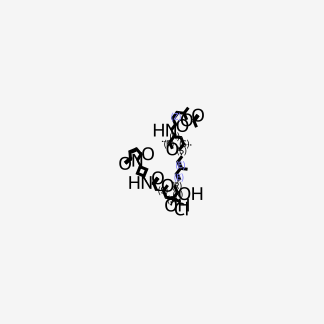 CC(=O)OC(C)/C=C\C(=O)N[C@@H]1C[C@H](C)[C@H](C/C=C(C)/C=C/[C@H]2O[C@H](CC(=O)N[C@H]3C[C@H](N4C(=O)C=CC4=O)C3)C[C@@](O)(CCl)[C@@H]2O)O[C@@H]1C